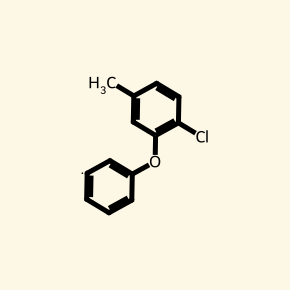 Cc1ccc(Cl)c(Oc2c[c]ccc2)c1